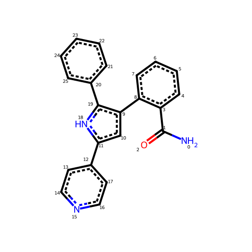 NC(=O)c1ccccc1-c1cc(-c2ccncc2)[nH]c1-c1ccccc1